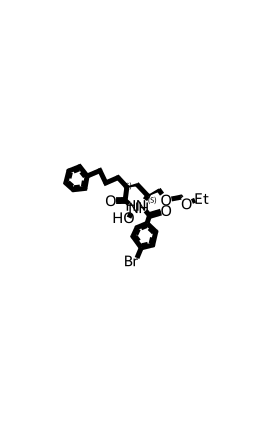 CCOCOC[C@H](C[C@H](CCCc1ccccc1)C(=O)NO)NC(=O)c1ccc(Br)cc1